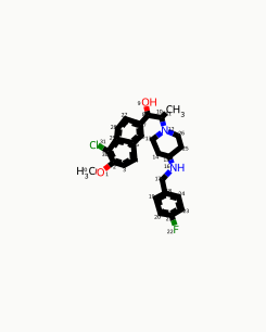 COc1ccc2cc(C(O)C(C)N3CCC(NCc4ccc(F)cc4)CC3)ccc2c1Cl